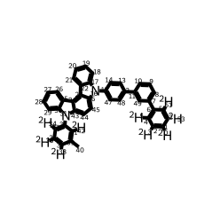 [2H]c1c([2H])c([2H])c(-c2cccc(-c3ccc(-n4c5ccccc5c5c6c7ccccc7n(-c7c([2H])c([2H])c([2H])c(C)c7[2H])c6ccc54)cc3)c2)c([2H])c1[2H]